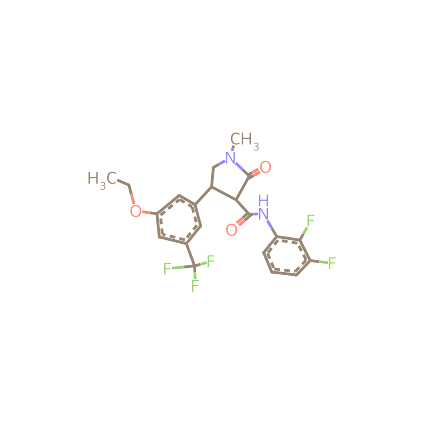 CCOc1cc(C2CN(C)C(=O)C2C(=O)Nc2cccc(F)c2F)cc(C(F)(F)F)c1